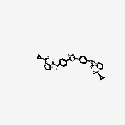 O=C(Nc1ccc(-c2nnc(-c3ccc(NC(=O)[C@@H]4CCCN4C(=O)C4CC4)cc3)o2)cc1)[C@@H]1CCCN1C(=O)C1CC1